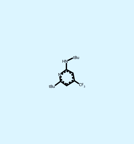 CC(C)(C)Nc1cc(C(F)(F)F)cc(C(C)(C)C)n1